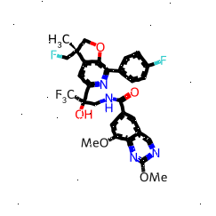 COc1ncc2cc(C(=O)NCC(O)(c3cc4c(c(-c5ccc(F)cc5)n3)OC[C@@]4(C)CF)C(F)(F)F)cc(OC)c2n1